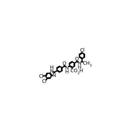 CC(NC(=O)c1ccc(NC(=O)c2ccc(-c3nc4cc(Cl)c(Cl)cc4[nH]3)cc2)c(C(=O)O)c1)c1ccc(Cl)cc1